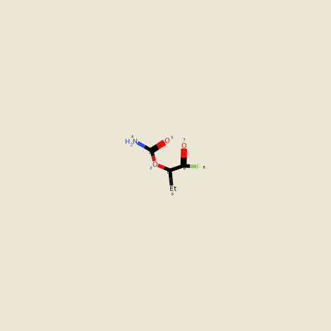 CCC(OC(N)=O)C(=O)F